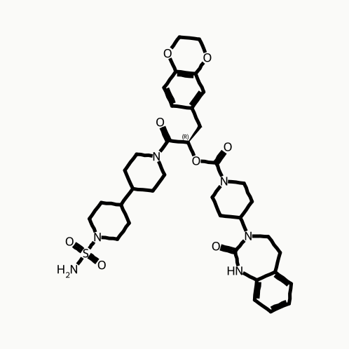 NS(=O)(=O)N1CCC(C2CCN(C(=O)[C@@H](Cc3ccc4c(c3)OCCO4)OC(=O)N3CCC(N4CCc5ccccc5NC4=O)CC3)CC2)CC1